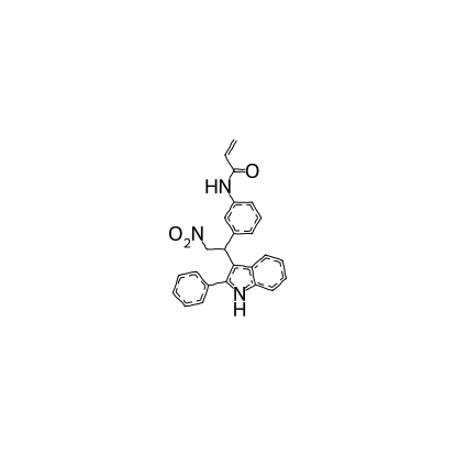 C=CC(=O)Nc1cccc(C(C[N+](=O)[O-])c2c(-c3ccccc3)[nH]c3ccccc23)c1